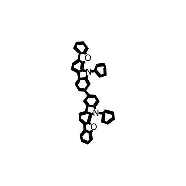 c1ccc(-n2c3ccc(-c4ccc5c6ccc7c8ccccc8oc7c6n(-c6ccccc6)c5c4)cc3c3ccc4c5ccccc5oc4c32)cc1